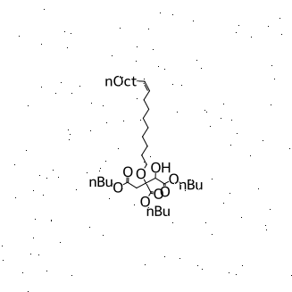 CCCCCCCC/C=C\CCCCCCCCOC(CC(=O)OCCCC)(C(=O)OCCCC)C(O)C(=O)OCCCC